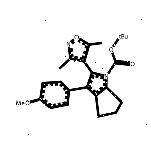 COc1ccc(-c2c3c(n(C(=O)OC(C)(C)C)c2-c2c(C)noc2C)CCC3)cc1